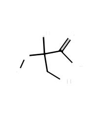 COC(C)(CO)C(=O)O